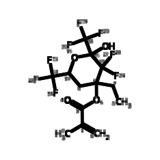 C=C(C)C(=O)OC1(CC)CC(C(F)(F)F)OC(O)(C(F)(F)F)C1(F)F